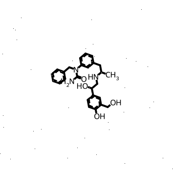 CC(Cc1cccc(N(Cc2ccccc2)C(N)=O)c1)NCC(O)c1ccc(O)c(CO)c1